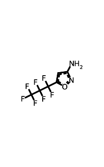 Nc1cc(C(F)(F)C(F)(F)C(F)(F)F)on1